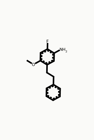 COc1cc(F)c(N)cc1CCc1ccccc1